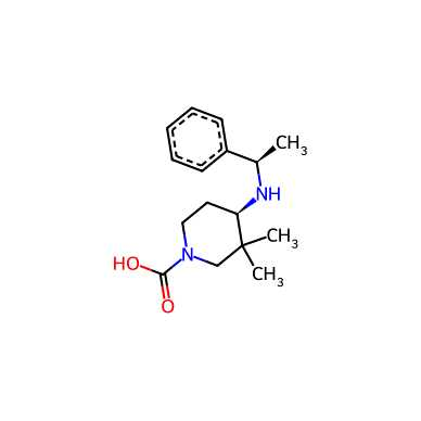 C[C@@H](N[C@@H]1CCN(C(=O)O)CC1(C)C)c1ccccc1